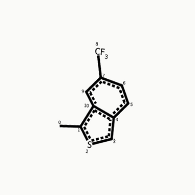 Cc1s[c]c2ccc(C(F)(F)F)cc12